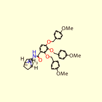 COc1ccc(COc2ccc(C(=O)N[C@H]3C[C@H]4CC[C@@H](C3)N4C)c(OCc3ccc(OC)cc3)c2OCc2ccc(OC)cc2)cc1